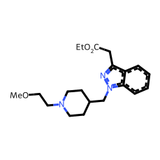 CCOC(=O)Cc1nn(CC2CCN(CCOC)CC2)c2ccccc12